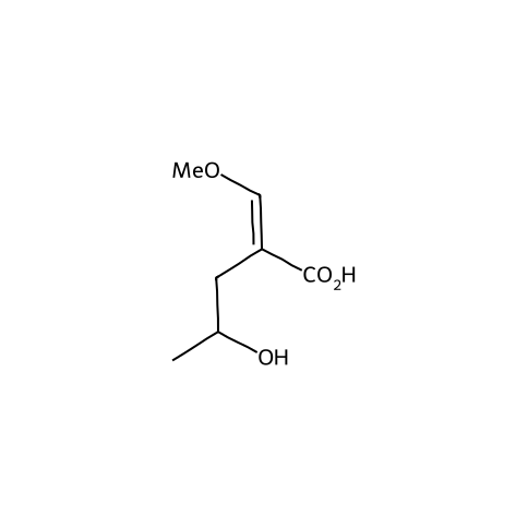 COC=C(CC(C)O)C(=O)O